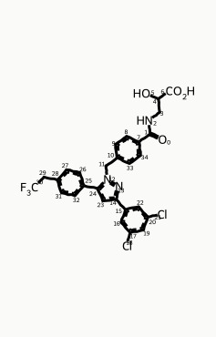 O=C(NCC(O)C(=O)O)c1ccc(Cn2nc(-c3cc(Cl)cc(Cl)c3)cc2-c2ccc(CC(F)(F)F)cc2)cc1